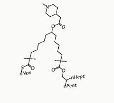 CCCCCCCCCSC(=O)C(C)(C)CCCCCC(CCCCCC(C)(C)C(=O)OCC(CCCCC)CCCCCCC)OC(=O)CC1CCN(C)CC1